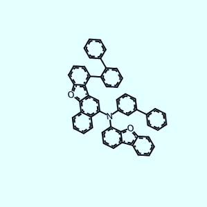 c1ccc(-c2cccc(N(c3cc4c(oc5cccc(-c6ccccc6-c6ccccc6)c54)c4ccccc34)c3cccc4c3oc3ccccc34)c2)cc1